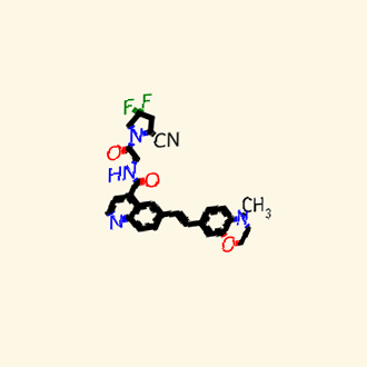 CN1CCOc2cc(C=Cc3ccc4nccc(C(=O)NCC(=O)N5CC(F)(F)CC5C#N)c4c3)ccc21